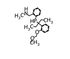 CCC(CC)(Pc1ccccc1CNC)c1ccccc1OCOC